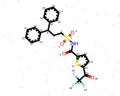 O=C(NS(=O)(=O)CCC(c1ccccc1)c1ccccc1)c1ccc(C(=O)C(F)(F)F)s1